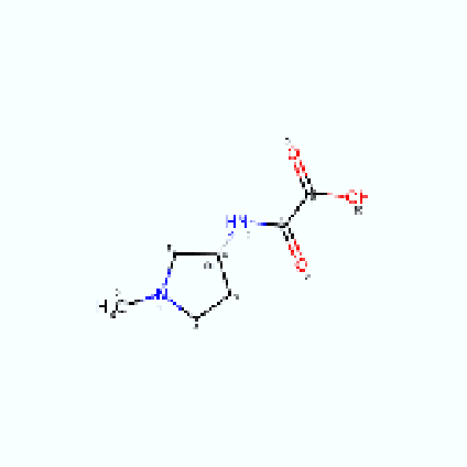 CN1CC[C@@H](NC(=O)C(=O)O)C1